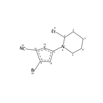 CCC1CCCCN1c1cc(Br)c(C#N)s1